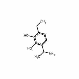 CCc1ccc(C(C)N)c(O)c1O